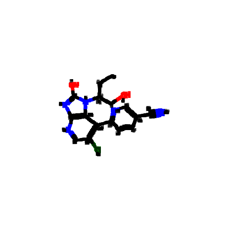 CC[C@@H](CO)n1c(O)nc2ncc(Cl)c(-c3ccc(C#N)cn3)c21